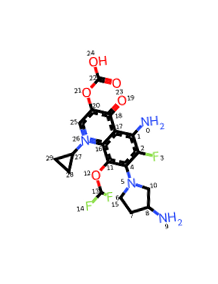 Nc1c(F)c(N2CCC(N)C2)c(OC(F)F)c2c1c(=O)c(OC(=O)O)cn2C1CC1